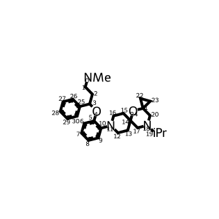 CNCCC(Oc1ccccc1N1CCC2(CC1)CN(C(C)C)CC1(CC1)O2)c1ccccc1